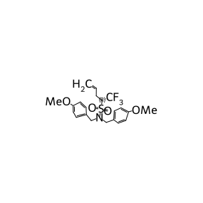 C=CC[C@H](C(F)(F)F)S(=O)(=O)N(Cc1ccc(OC)cc1)Cc1ccc(OC)cc1